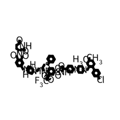 CC1(C)CCC(c2ccc(Cl)cc2)=C(CN2CCN(c3ccc(C(=O)NS(=O)(=O)c4ccc(N[C@H](CCN5C[C@@H]6C[C@H]5CN6Cc5ccc6c(c5)C(=O)N(C5CCC(=O)NC5=O)C6=O)CSc5ccccc5)c(S(=O)(=O)C(F)(F)F)c4)cc3)CC2)C1